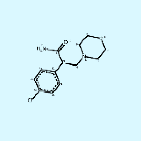 NC(=O)[C@@H](CN1CCOCC1)c1ccc(Cl)cc1